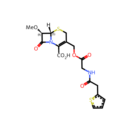 CO[C@@H]1C(=O)N2C(C(=O)O)=C(COC(=O)CNC(=O)Cc3cccs3)CS[C@@H]12